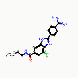 N=C(N)c1ccc(-c2nc3c(Cl)cc(C(=O)NCCC(=O)O)cc3[nH]2)cc1